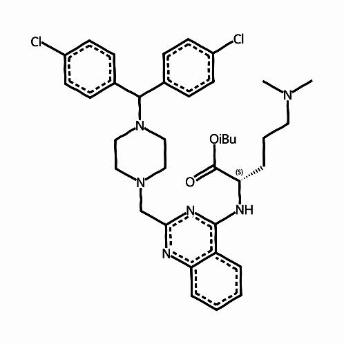 CC(C)COC(=O)[C@H](CCCN(C)C)Nc1nc(CN2CCN(C(c3ccc(Cl)cc3)c3ccc(Cl)cc3)CC2)nc2ccccc12